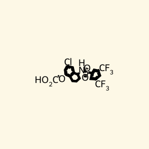 O=C(O)COc1cc(Cl)cc2c1CCCC2NS(=O)(=O)c1cc(C(F)(F)F)cc(C(F)(F)F)c1